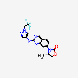 C[C@H]1COC(=O)N1c1ccc2cnc(Nc3cnn(CC(F)(F)F)c3)nc2c1